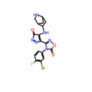 O=C1N=NC(c2noc(=O)n2-c2ccc(F)c(Br)c2)=C1NC1CC2CC1CN2